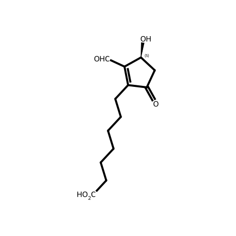 O=CC1=C(CCCCCCC(=O)O)C(=O)C[C@@H]1O